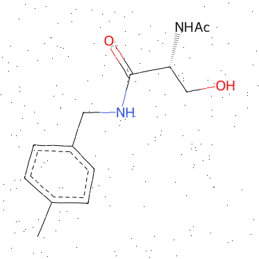 CC(=O)N[C@H](CO)C(=O)NCc1ccc(C)cc1